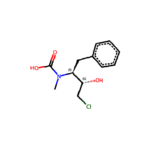 CN(C(=O)O)[C@@H](Cc1ccccc1)[C@H](O)CCl